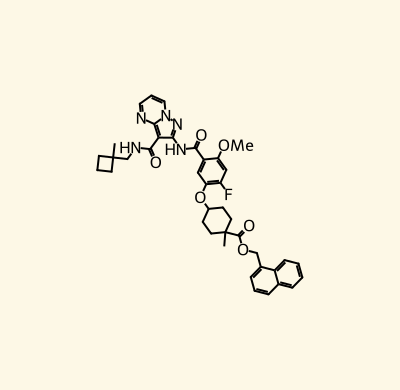 COc1cc(F)c(OC2CCC(C)(C(=O)OCc3cccc4ccccc34)CC2)cc1C(=O)Nc1nn2cccnc2c1C(=O)NCC1(C)CCC1